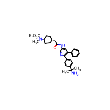 CCOC(=O)N(C)[C@H]1CC[C@H](CC(=O)Nc2cnc(-c3ccc(C(C)(C)N)cc3)c(-c3ccccc3)c2)CC1